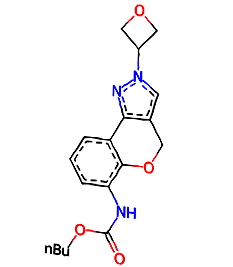 CCCCOC(=O)Nc1cccc2c1OCc1cn(C3COC3)nc1-2